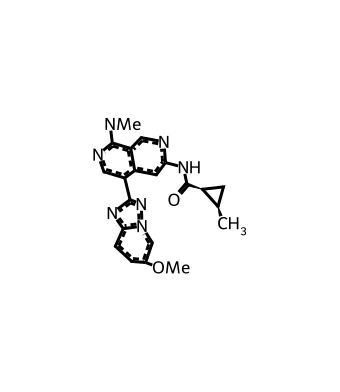 CNc1ncc(-c2nc3ccc(OC)cn3n2)c2cc(NC(=O)[C@H]3C[C@H]3C)ncc12